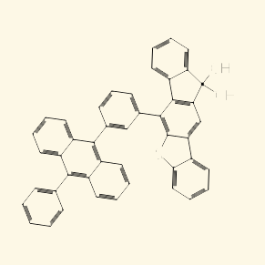 CC1(C)c2ccccc2-c2c1cc1c(sc3ccccc31)c2-c1cccc(-c2c3ccccc3c(-c3ccccc3)c3ccccc23)c1